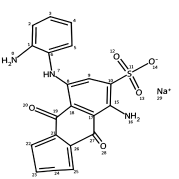 Nc1ccccc1Nc1cc(S(=O)(=O)[O-])c(N)c2c1C(=O)c1ccccc1C2=O.[Na+]